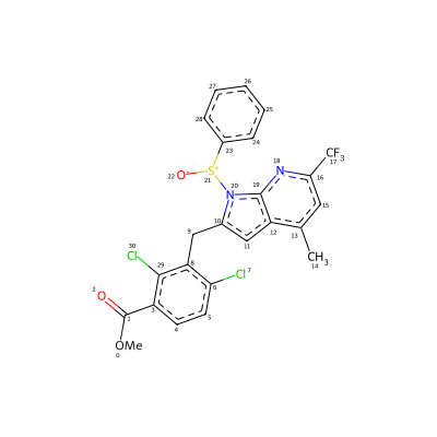 COC(=O)c1ccc(Cl)c(Cc2cc3c(C)cc(C(F)(F)F)nc3n2[S+]([O-])c2ccccc2)c1Cl